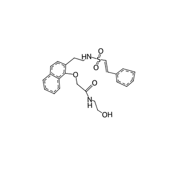 O=C(COc1c(CCNS(=O)(=O)C=Cc2ccccc2)ccc2ccccc12)NCCO